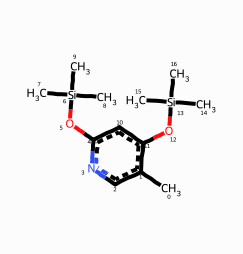 Cc1cnc(O[Si](C)(C)C)cc1O[Si](C)(C)C